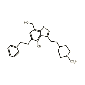 N#Cc1c(OCc2ccccc2)cc(CO)c2onc(CCC3CCN(C(=O)O)CC3)c12